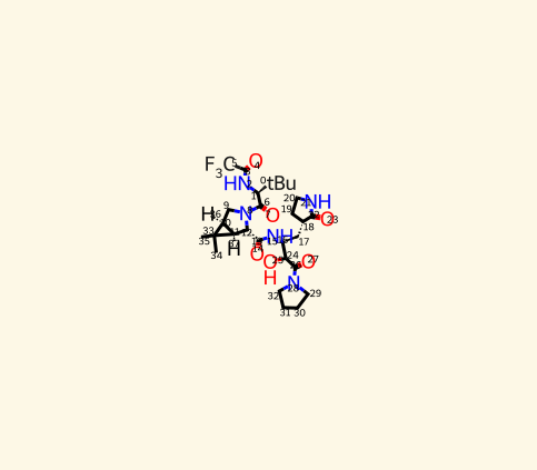 CC(C)(C)[C@H](NC(=O)C(F)(F)F)C(=O)N1C[C@H]2[C@@H]([C@H]1C(=O)N[C@@H](C[C@@H]1CCNC1=O)C(O)C(=O)N1CCCC1)C2(C)C